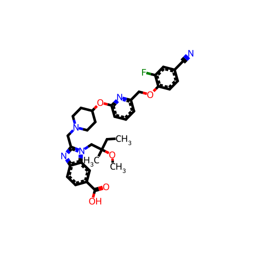 CCC(C)(Cn1c(CN2CCC(Oc3cccc(COc4ccc(C#N)cc4F)n3)CC2)nc2ccc(C(=O)O)cc21)OC